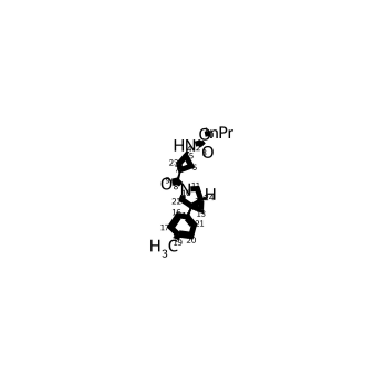 CCCOC(=O)N[C@H]1C[C@@H](C(=O)N2C[C@@H]3C[C@]3(c3ccc(C)cc3)C2)C1